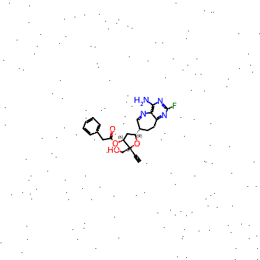 C#C[C@]1(CO)O[C@@H](C2C=Nc3c(N)nc(F)nc3CC2)C[C@@H]1OC(=O)Cc1ccccc1